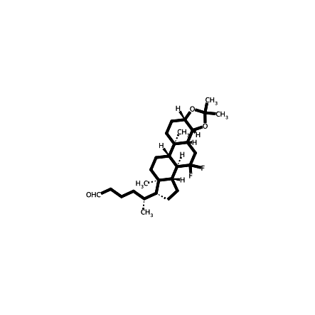 C[C@H](CCCC=O)[C@H]1CC[C@H]2[C@H]3[C@H](CC[C@]12C)[C@@]1(C)CC[C@@H]2OC(C)(C)O[C@@H]2[C@@H]1CC3(F)F